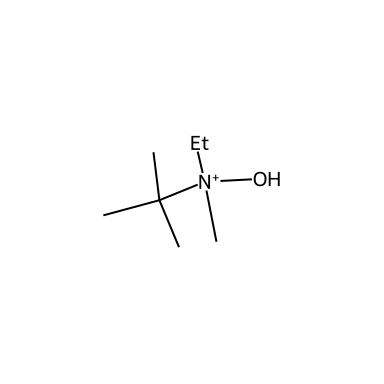 CC[N+](C)(O)C(C)(C)C